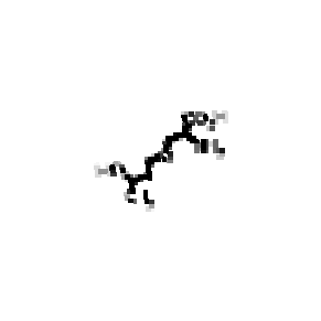 CC(O)CCOCC(N)C(=O)O